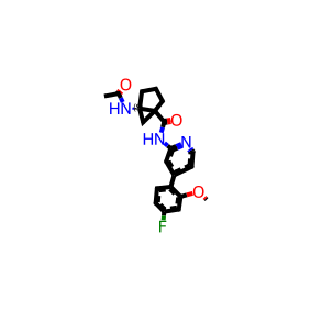 COc1cc(F)ccc1-c1ccnc(NC(=O)C23CCC[C@]2(NC(C)=O)C3)c1